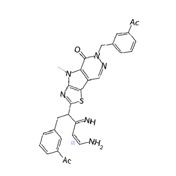 CC(=O)c1cccc(CC(C(=N)/C=C\N)c2nc3c(s2)c2cnn(Cc4cccc(C(C)=O)c4)c(=O)c2n3C)c1